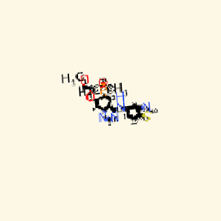 COCCOc1cc2ncnc(Nc3ccc4scnc4c3)c2cc1P(C)(C)=O